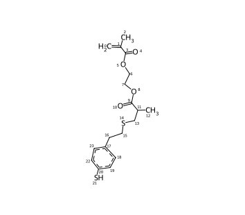 C=C(C)C(=O)OCCOC(=O)C(C)CSCCc1ccc(S)cc1